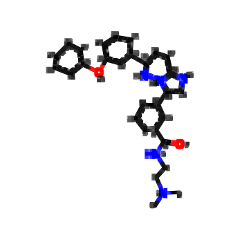 CN(C)CCNC(=O)c1cccc(-c2cnc3ccc(-c4cccc(Oc5ccccc5)c4)nn23)c1